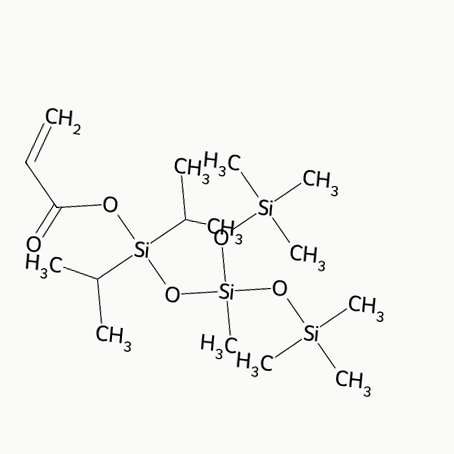 C=CC(=O)O[Si](O[Si](C)(O[Si](C)(C)C)O[Si](C)(C)C)(C(C)C)C(C)C